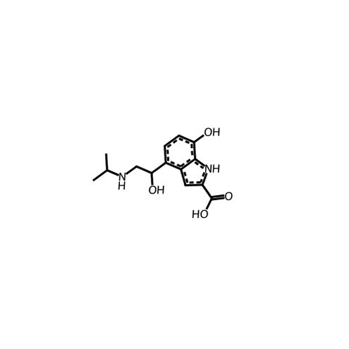 CC(C)NCC(O)c1ccc(O)c2[nH]c(C(=O)O)cc12